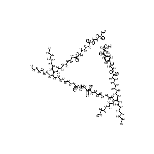 C=CC(=O)OCCOC(=O)CCCCCOC(=O)CCCCCCCCC(CCCCCCCC)C(CCCCCCCC)CCCCCCCCC(=O)NCCNC(=O)CCCCCCCCC(CCCCCCCC)C(CCCCCCCC)CCCCCCCCC(=O)OCCOc1ccc(C(=O)C(C)(C)O)cc1